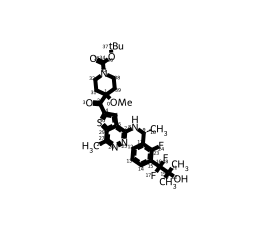 COC1(C(=O)c2cc3c(N[C@H](C)c4cccc(C(F)(F)C(C)(C)O)c4F)nnc(C)c3s2)CCN(C(=O)OC(C)(C)C)CC1